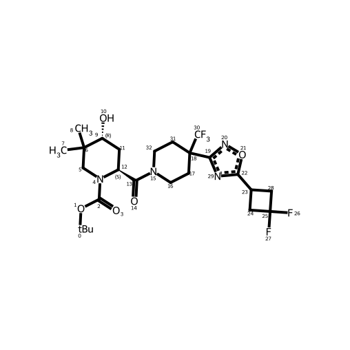 CC(C)(C)OC(=O)N1CC(C)(C)[C@H](O)C[C@H]1C(=O)N1CCC(c2noc(C3CC(F)(F)C3)n2)(C(F)(F)F)CC1